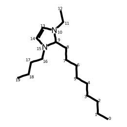 CCCCCCCCCC1N(CC)C=CN1CCCC